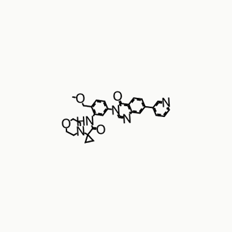 COCc1ccc(-n2cnc3cc(-c4cccnc4)ccc3c2=O)cc1NC(=O)C1(N2CCOCC2)CC1